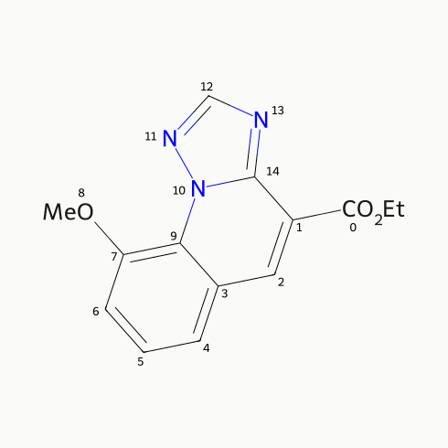 CCOC(=O)c1cc2cccc(OC)c2n2ncnc12